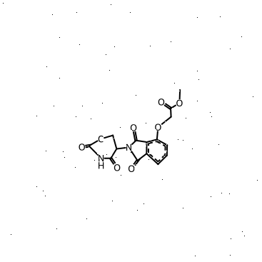 COC(=O)COc1cccc2c1C(=O)N(C1CCC(=O)NC1=O)C2=O